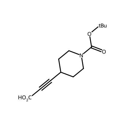 CC(C)(C)OC(=O)N1CCC(C#CC(=O)O)CC1